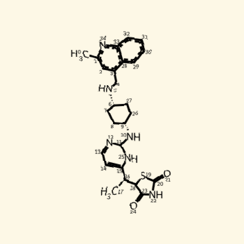 Cc1cc(CN[C@H]2CC[C@@H](NC3N=CC=C([C@H](C)C4SC(=O)NC4=O)N3)CC2)c2ccccc2n1